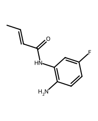 C/C=C/C(=O)Nc1cc(F)ccc1N